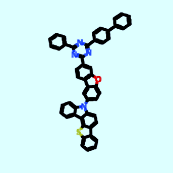 c1ccc(-c2ccc(-c3nc(-c4ccccc4)nc(-c4ccc5c(c4)oc4ccc(-n6c7ccccc7c7c8sc9ccccc9c8ccc76)cc45)n3)cc2)cc1